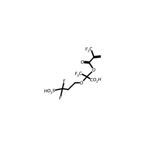 C=C(C(=O)OC(OCCC(F)(F)S(=O)(=O)O)(C(=O)O)C(F)(F)F)C(F)(F)F